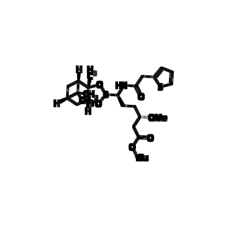 CO[C@@H](CC[C@H](NC(=O)Cc1cccs1)B1O[C@@H]2C[C@@H]3C[C@@H](C3(C)C)[C@]2(C)O1)CC(=O)OC(C)(C)C